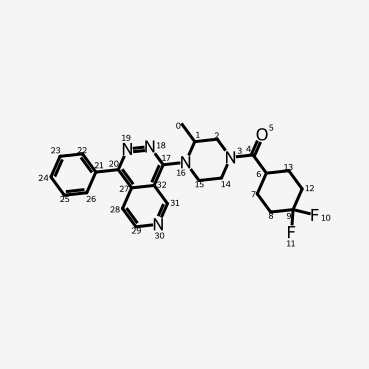 CC1CN(C(=O)C2CCC(F)(F)CC2)CCN1c1nnc(-c2ccccc2)c2ccncc12